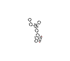 c1ccc(-c2cccc(-c3cc(-c4ccc(-c5ccc6c(c5)Sc5ccccc5C65c6ccccc6-c6ccccc65)cc4)nc(-c4ccccc4)n3)c2)cc1